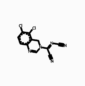 N#CN=C(C#N)N1C=Nc2ccc(Cl)c(Cl)c2C1